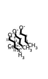 CCCC[O-].CCCC[O-].CCCC[O-].[Ce+3]